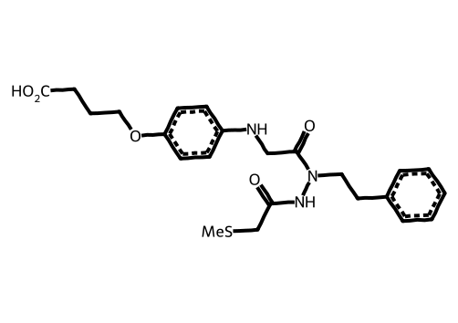 CSCC(=O)NN(CCc1ccccc1)C(=O)CNc1ccc(OCCCC(=O)O)cc1